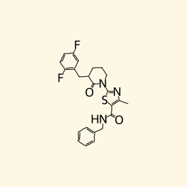 Cc1nc(N2CCCC(Cc3cc(F)ccc3F)C2=O)sc1C(=O)NCc1ccccc1